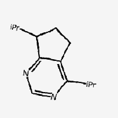 CC(C)c1ncnc2c1CCC2C(C)C